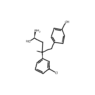 CC(Cc1ccc(O)cc1)(C[C@H](N)O)c1cccc(Cl)c1